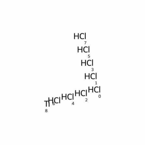 Cl.Cl.Cl.Cl.Cl.Cl.Cl.Cl.[Ti]